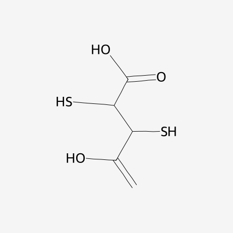 C=C(O)C(S)C(S)C(=O)O